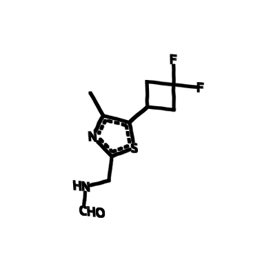 Cc1nc(CNC=O)sc1C1CC(F)(F)C1